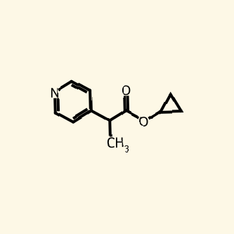 CC(C(=O)OC1CC1)c1ccncc1